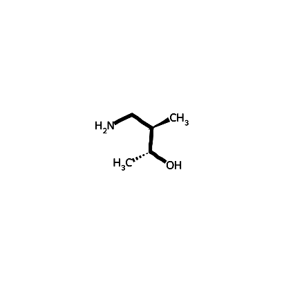 C[C@H](CN)[C@@H](C)O